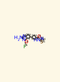 Nc1nc(OCCF)c2cc(-c3ccc(C(=O)NC4=NCCS4)cc3)ccc2n1